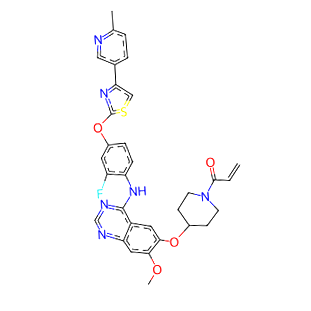 C=CC(=O)N1CCC(Oc2cc3c(Nc4ccc(Oc5nc(-c6ccc(C)nc6)cs5)cc4F)ncnc3cc2OC)CC1